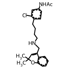 CC(=O)Nc1ccc(CCCCNCC2=CC(C)(C)Oc3ccccc32)c(Cl)c1